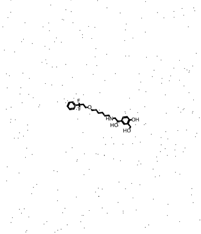 OCc1cc([C@H](O)CNCCCCCCOCCC(F)(F)c2ccccc2)ccc1O